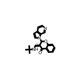 CC(C)(C)N/C=C1\C(=O)c2ccccc2OC1n1ccc2ccncc21